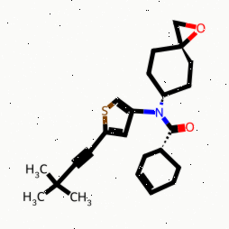 CC(C)(C)C#Cc1cc(N(C(=O)[C@H]2CC=CCC2)[C@H]2CC[C@@]3(CC2)CO3)cs1